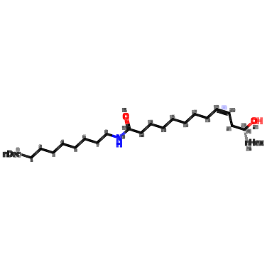 CCCCCCCCCCCCCCCCCCNC(=O)CCCCCCC/C=C\C[C@H](O)CCCCCC